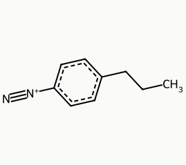 CCCc1ccc([N+]#N)cc1